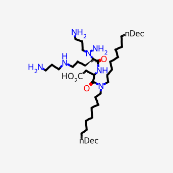 CCCCCCCCCCCCCCCCCCN(CCCCCCCCCCCCCCCCCC)C(=O)C(CC(=O)O)NC(=O)[C@@H](CCCNCCCN)N(N)CCCN